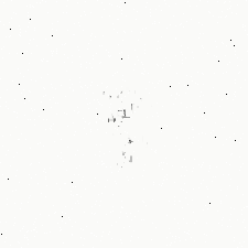 CCO[C@@H]([C@H]1C[C@@H](C)[C@H]2[C@H](O1)[C@H](O)[C@@]1(C)[C@H](CC[C@@H]3C(C)CC[C@H](OC(=O)NC4COC4)C3(C)C)CCC[C@]21C)C(C)(C)O